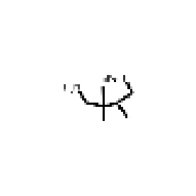 CCCCCCC(C)C(C)(C)CN